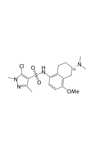 COc1ccc(NS(=O)(=O)c2c(C)nn(C)c2Cl)c2c1C[C@@H](N(C)C)CC2